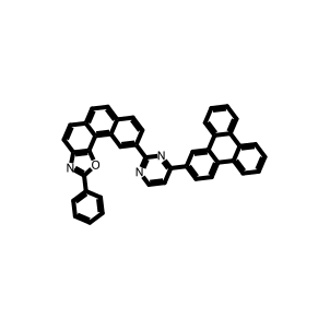 c1ccc(-c2nc3ccc4ccc5ccc(-c6nccc(-c7ccc8c9ccccc9c9ccccc9c8c7)n6)cc5c4c3o2)cc1